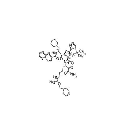 CC(C)(O)c1cnnn1[C@H]1C[C@@H](C(=O)NC(CCCCNC(O)OCc2ccccc2)C(=O)C(N)=O)N(C(=O)[C@@H](CC2CCCCC2)NC(=O)c2ccc3nccnc3n2)C1